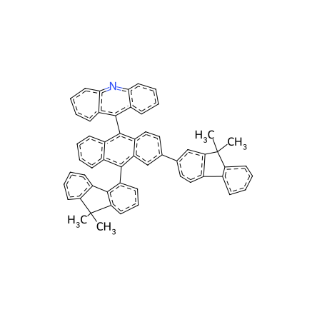 CC1(C)c2ccccc2-c2ccc(-c3ccc4c(-c5c6ccccc6nc6ccccc56)c5ccccc5c(-c5cccc6c5-c5ccccc5C6(C)C)c4c3)cc21